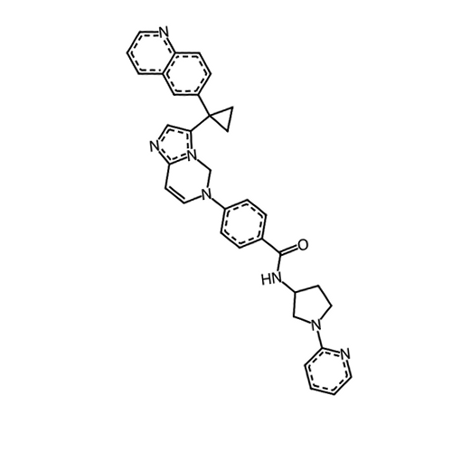 O=C(NC1CCN(c2ccccn2)C1)c1ccc(N2C=Cc3ncc(C4(c5ccc6ncccc6c5)CC4)n3C2)cc1